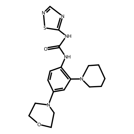 O=C(Nc1ncns1)Nc1ccc(N2CCOCC2)cc1N1CCCCC1